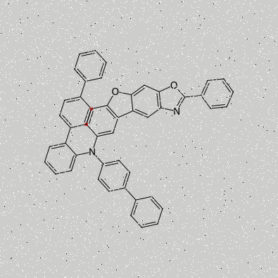 c1ccc(-c2ccc(-c3ccccc3N(c3ccc(-c4ccccc4)cc3)c3ccc4oc5cc6oc(-c7ccccc7)nc6cc5c4c3)cc2)cc1